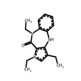 CCc1cn(CC)c2c1Nc1ccccc1N(CC)C2=O